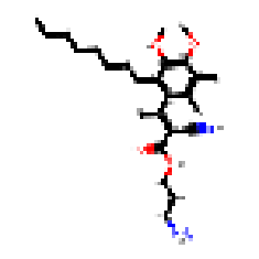 CCCCCCCCc1c(OC)c(OC)c(C)c(C)c1C(C)=C(C#N)C(=O)OCCCN